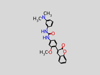 COc1cc(NC(=O)Nc2cccc(N(C)C)c2)ccc1-c1cc2ccccc2oc1=O